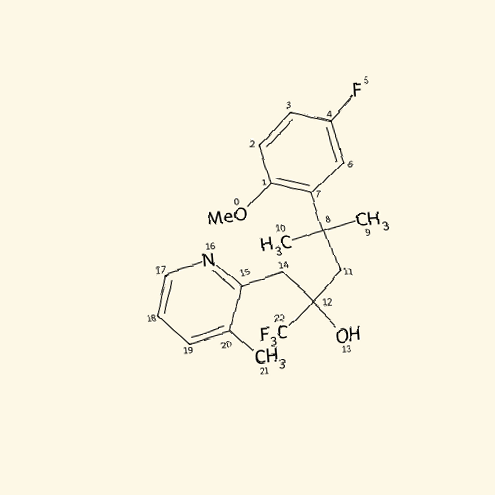 COc1ccc(F)cc1C(C)(C)CC(O)(Cc1ncccc1C)C(F)(F)F